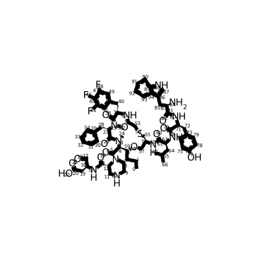 CCCC[C@@H](C(=O)N1CCNC[C@@H]1C(=O)N[C@H](C=O)CC(=O)O)N(C)C(=O)[C@H](Cc1ccccc1)N(C)C(=O)[C@H](Cc1cc(F)c(F)c(F)c1)NC(=O)CSC[C@@H](COC)NC(=O)[C@H](CC(C)C)NC(=O)[C@H](Cc1ccc(O)cc1)NC(=O)[C@@H](N)Cc1c[nH]c2ccccc12